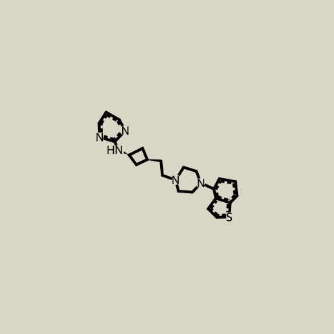 c1cnc(N[C@H]2C[C@H](CCN3CCN(c4cccc5sccc45)CC3)C2)nc1